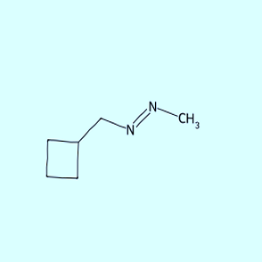 C/N=N/CC1CCC1